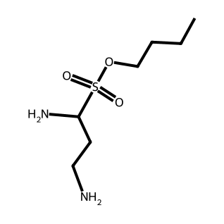 CCCCOS(=O)(=O)C(N)CCN